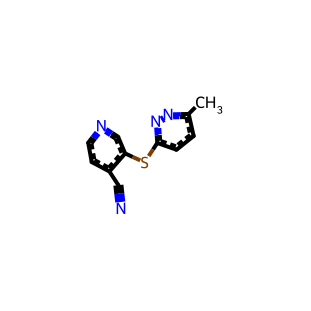 Cc1ccc(Sc2cnccc2C#N)nn1